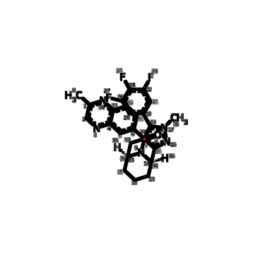 Cc1cnc2cc(C(=O)N3[C@H]4CCC[C@@H]3c3nn(C)c(-c5cc(F)c(F)c(F)c5)c3C4)ccc2n1